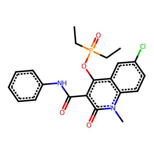 CCP(=O)(CC)Oc1c(C(=O)Nc2ccccc2)c(=O)n(C)c2ccc(Cl)cc12